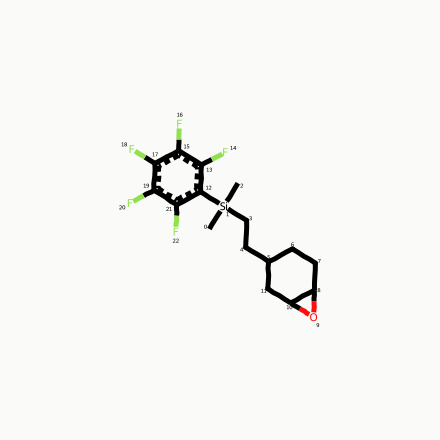 C[Si](C)(CCC1CCC2OC2C1)c1c(F)c(F)c(F)c(F)c1F